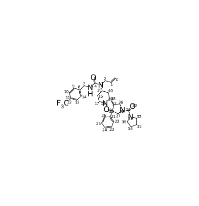 C=CCN(C(=O)NCc1ccc(C(F)(F)F)cc1)C1CCN(O[C@]2(c3ccccc3)CN(C(=O)N3CCCC3)C[C@@H]2C)CC1